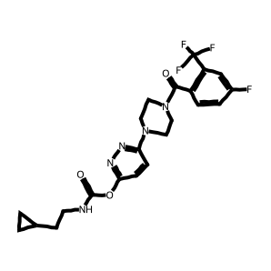 O=C(NCCC1CC1)Oc1ccc(N2CCN(C(=O)c3ccc(F)cc3C(F)(F)F)CC2)nn1